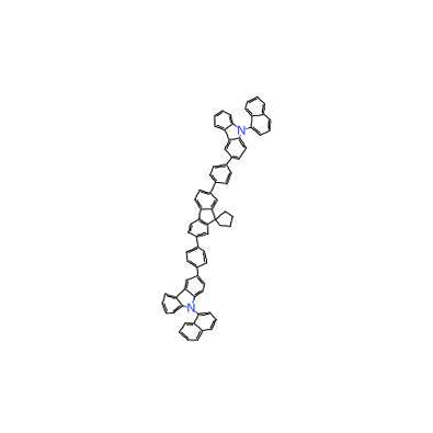 c1ccc2c(-n3c4ccccc4c4cc(-c5ccc(-c6ccc7c(c6)C6(CCCC6)c6cc(-c8ccc(-c9ccc%10c(c9)c9ccccc9n%10-c9cccc%10ccccc9%10)cc8)ccc6-7)cc5)ccc43)cccc2c1